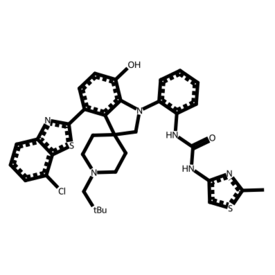 Cc1nc(NC(=O)Nc2ccccc2N2CC3(CCN(CC(C)(C)C)CC3)c3c(-c4nc5cccc(Cl)c5s4)ccc(O)c32)cs1